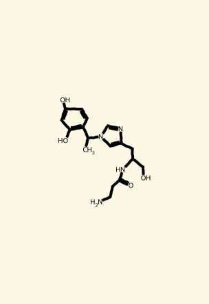 CC(c1ccc(O)cc1O)n1cnc(CC(CO)NC(=O)CCN)c1